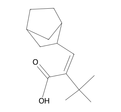 CC(C)(C)C(=CC1CC2CCC1C2)C(=O)O